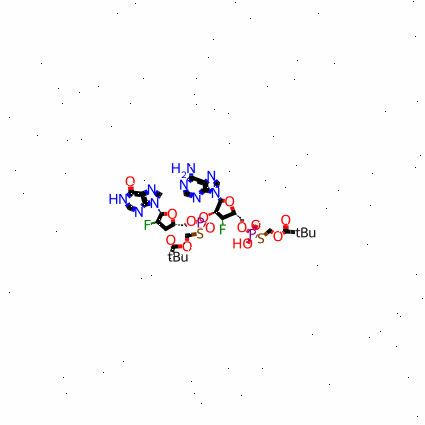 CC(C)(C)C(=O)OCSP(=O)(O)OC[C@H]1OC(n2cnc3c(N)ncnc32)[C@H](OP(=O)(OC[C@@H]2C[C@@H](F)[C@H](n3cnc4c(=O)[nH]cnc43)O2)SCOC(=O)C(C)(C)C)[C@H]1F